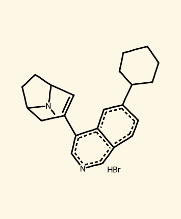 Br.CN1C2C=C(c3cncc4ccc(C5CCCCC5)cc34)CC1CC2